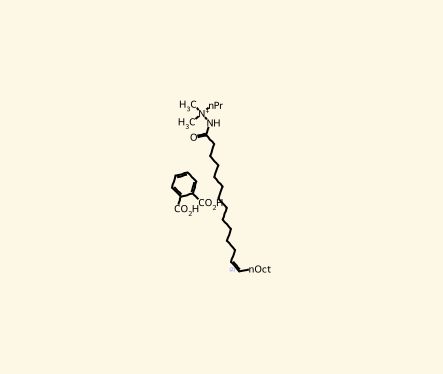 CCCCCCCC/C=C\CCCCCCCCCCCC(=O)N[N+](C)(C)CCC.O=C(O)c1ccccc1C(=O)O